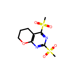 CS(=O)(=O)c1nc2c(c(S(C)(=O)=O)n1)CCCO2